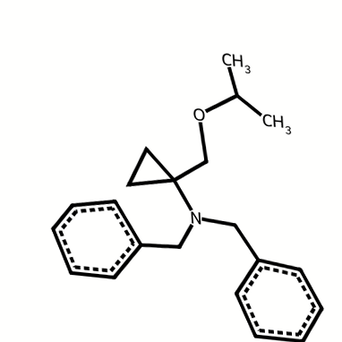 CC(C)OCC1(N(Cc2ccccc2)Cc2ccccc2)CC1